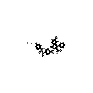 COC(=O)c1c(-c2ccccc2)c2cc(Br)ccc2c(=O)n1Cc1ccc(NS(=O)(=O)c2ccc(C(=O)O)cc2)cc1